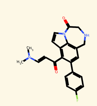 CN(C)C=CC(=O)c1c(-c2ccc(F)cc2)cc2c3c1ccn3C(=O)CNC2